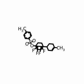 CC1=CCC(C23CCC(OS(=O)(=O)c4ccc(C)cc4)(CC2)C(F)(F)C3(F)F)CC1